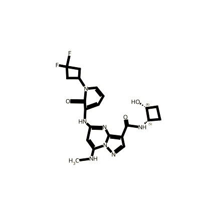 CNc1cc(Nc2cccn(C3CC(F)(F)C3)c2=O)nc2c(C(=O)N[C@H]3CC[C@H]3O)cnn12